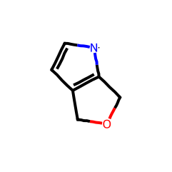 C1=CC2=C(COC2)[N]1